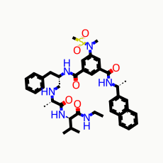 CCNC(=O)[C@@H](NC(=O)[C@H](C)NC[C@H](Cc1ccccc1)NC(=O)c1cc(C(=O)N[C@H](C)c2ccc3ccccc3c2)cc(N(C)S(C)(=O)=O)c1)C(C)C